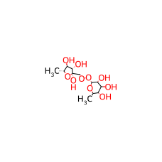 C[C@H]1O[C@](O)(COO[C@H]2O[C@H](C)[C@@H](O)[C@H](O)[C@H]2O)[C@@H](O)[C@@H]1O